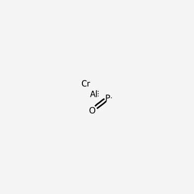 O=[P].[Al].[Cr]